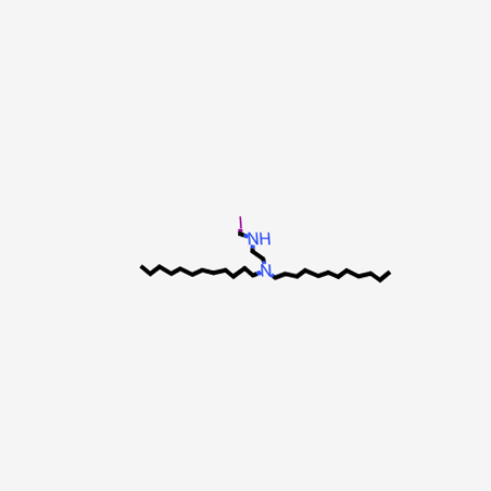 CCCCCCCCCCCCN(CCCCCCCCCCCC)CCNCI